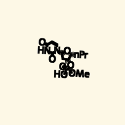 CCC[C@H]1O[C@@H](n2ccc(=O)[nH]c2=O)C[C@H]1OP(=O)(O)OC